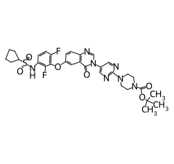 CC(C)(C)OC(=O)N1CCN(c2ncc(-n3cnc4ccc(Oc5c(F)ccc(NS(=O)(=O)C6CCCC6)c5F)cc4c3=O)cn2)CC1